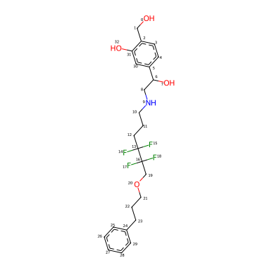 OCc1ccc(C(O)CNCCCC(F)(F)C(F)(F)COCCCc2ccccc2)cc1O